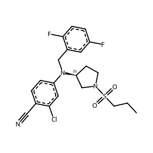 CCCS(=O)(=O)N1CC[C@H](N(Cc2cc(F)ccc2F)c2ccc(C#N)c(Cl)c2)C1